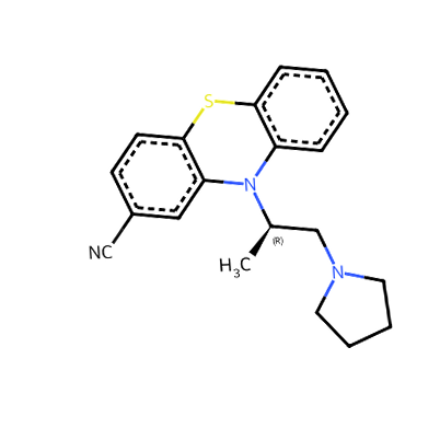 C[C@H](CN1CCCC1)N1c2ccccc2Sc2ccc(C#N)cc21